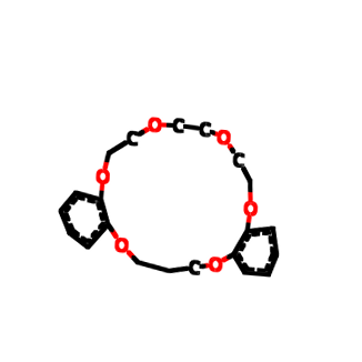 c1ccc2c(c1)OCCCOc1ccccc1OCCOCCOCCO2